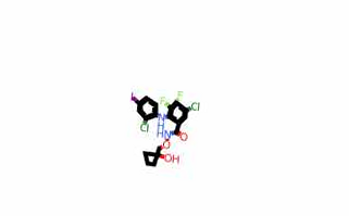 O=C(NOCC1(O)CCC1)c1cc(Cl)c(F)c(F)c1Nc1ccc(I)cc1Cl